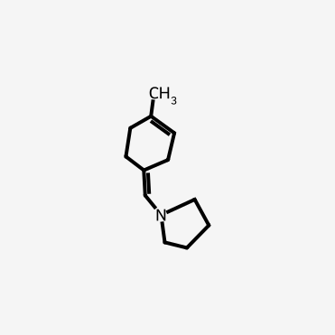 CC1=CC/C(=C\N2CCCC2)CC1